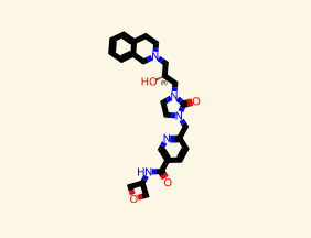 O=C(NC1COC1)c1ccc(CN2CCN(C[C@H](O)CN3CCc4ccccc4C3)C2=O)nc1